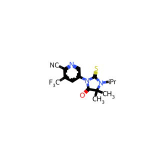 CC(C)N1C(=S)N(c2cnc(C#N)c(C(F)(F)F)c2)C(=O)C1(C)C